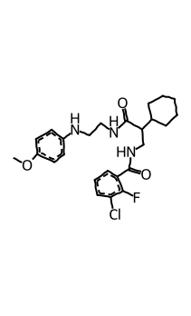 COc1ccc(NCCNC(=O)C(CNC(=O)c2cccc(Cl)c2F)C2CCCCC2)cc1